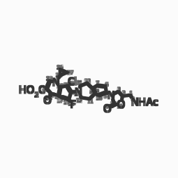 CC(=O)NCC1CN(c2ccc3c(c2)CCN(c2c(F)cc4c(=O)c(C(=O)O)cn(C5CC5)c4c2Cl)CC3)C(=O)O1